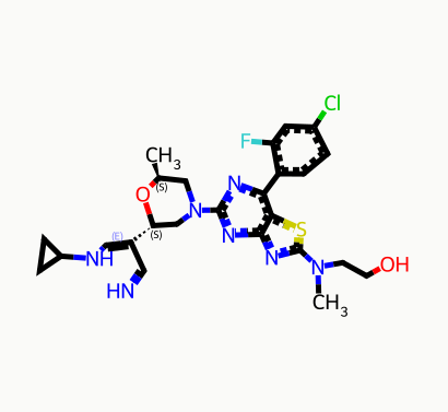 C[C@H]1CN(c2nc(-c3ccc(Cl)cc3F)c3sc(N(C)CCO)nc3n2)C[C@H](/C(C=N)=C/NC2CC2)O1